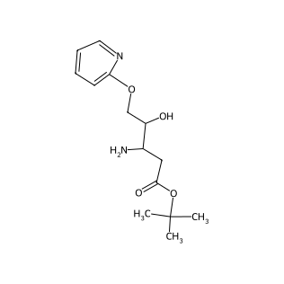 CC(C)(C)OC(=O)CC(N)C(O)COc1ccccn1